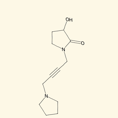 O=C1C(O)CCN1CC#CCN1CCCC1